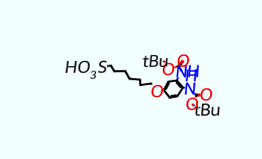 CC(C)(C)OC(=O)Nc1ccc(OCCCCCCCS(=O)(=O)O)cc1NC(=O)OC(C)(C)C